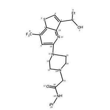 CCC(O)c1csc2c(C(F)(F)F)cc(N3CCN(CC(=O)NC(C)C)CC3)nc12